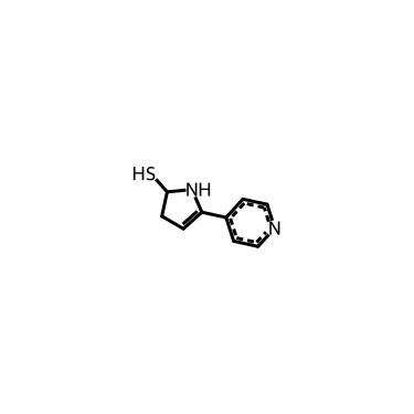 SC1CC=C(c2ccncc2)N1